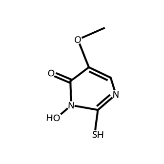 COc1cnc(S)n(O)c1=O